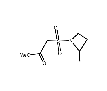 COC(=O)CS(=O)(=O)N1CCC1C